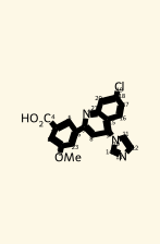 COc1cc(C(=O)O)cc(-c2cc(-n3ccnc3)c3ccc(Cl)cc3n2)c1